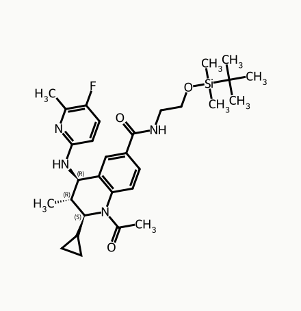 CC(=O)N1c2ccc(C(=O)NCCO[Si](C)(C)C(C)(C)C)cc2[C@H](Nc2ccc(F)c(C)n2)[C@@H](C)[C@@H]1C1CC1